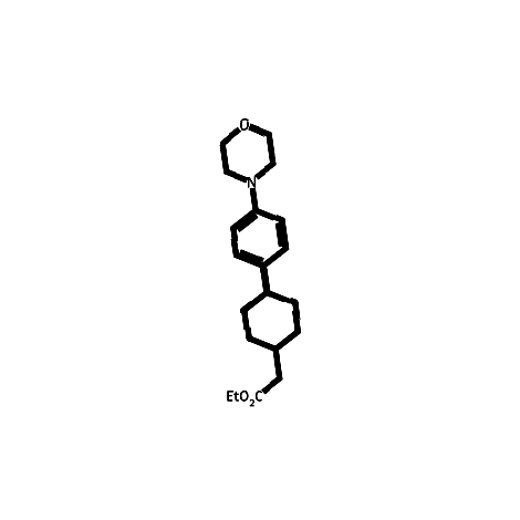 CCOC(=O)CC1CCC(c2ccc(N3CCOCC3)cc2)CC1